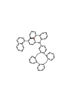 c1ccc(-c2ccccc2N(c2ccc(-c3cccc4ccccc34)cc2)c2ccc3c(c2)Cc2ccccc2-c2ccccc2Cc2ccccc2-3)cc1